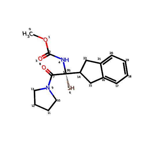 COC(=O)N[C@](S)(C(=O)N1CCCC1)C1Cc2ccccc2C1